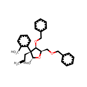 C=CC[C@]1(c2ccccc2C(=O)O)[C@@H](OC)O[C@H](COCc2ccccc2)[C@@H]1OCc1ccccc1